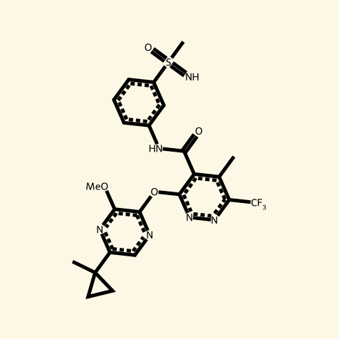 COc1nc(C2(C)CC2)cnc1Oc1nnc(C(F)(F)F)c(C)c1C(=O)Nc1cccc(S(C)(=N)=O)c1